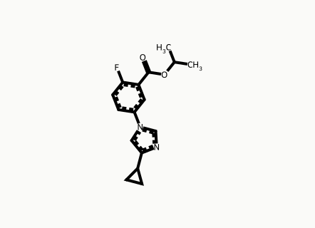 CC(C)OC(=O)c1cc(-n2cnc(C3CC3)c2)ccc1F